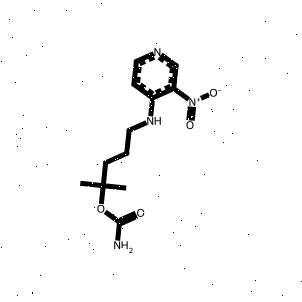 CC(C)(CCCNc1ccncc1[N+](=O)[O-])OC(N)=O